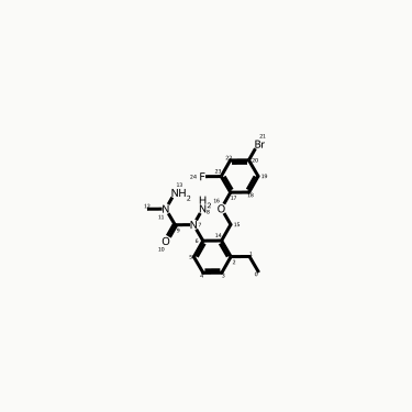 CCc1cccc(N(N)C(=O)N(C)N)c1COc1ccc(Br)cc1F